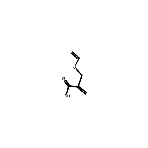 C=COCC(=C)C(=O)O